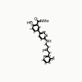 CNC(=O)c1cc(-c2ccc(NCC[C@H](F)Cc3ncccc3F)nn2)ccc1O